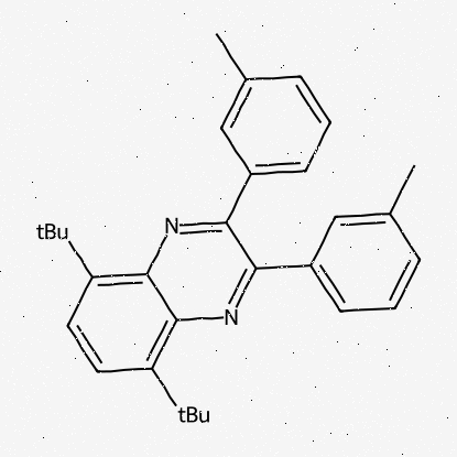 Cc1cccc(-c2nc3c(C(C)(C)C)ccc(C(C)(C)C)c3nc2-c2cccc(C)c2)c1